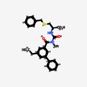 CCCN(C(=O)N[C@@H](CSCc1ccccc1)C(=O)O)C(=O)c1cc(CC(=O)O)cc(-c2ccccc2)c1